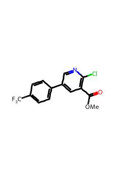 COC(=O)c1cc(-c2ccc(C(F)(F)F)cc2)cnc1Cl